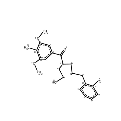 COc1cc(C(=O)N(CCO)CCCc2ccccc2Cl)cc(OC)c1C